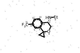 CCN[C@@H]1COC2(CC2)c2cc(C(F)(F)F)ccc21